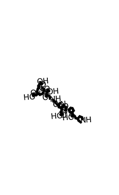 O=C(O)CC(NC(=O)[C@@H]1CCCN(C(=O)CCC2CCNCC2)C1)c1cncc(OCCNCCC(=O)C(C(=O)O)N2CCN(CC(=O)O)CCN(CC(=O)O)CC2)c1